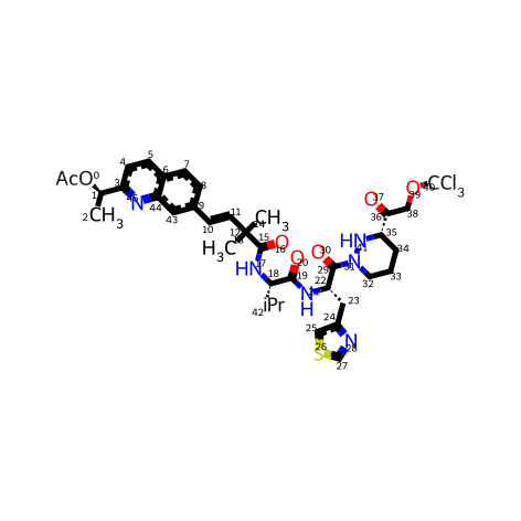 CC(=O)O[C@H](C)c1ccc2ccc(/C=C/C(C)(C)C(=O)N[C@H](C(=O)N[C@@H](Cc3cscn3)C(=O)N3CCC[C@@H](C(=O)COC(Cl)(Cl)Cl)N3)C(C)C)cc2n1